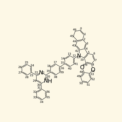 C1=Cc2cc3c4ccc5c(c4n(-c4ccc(-c6ccc(C7N=C(c8ccccc8)C=C(c8ccccc8)N7)cc6)cc4)c3cc2CC1)Oc1ccccc1O5